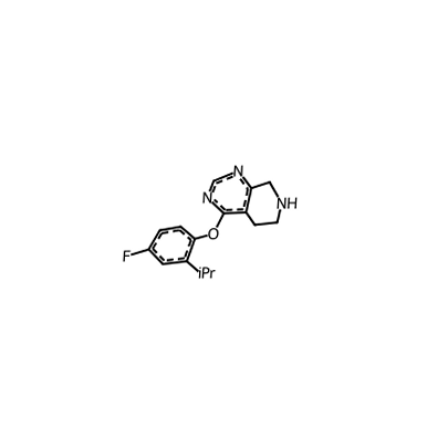 CC(C)c1cc(F)ccc1Oc1ncnc2c1CCNC2